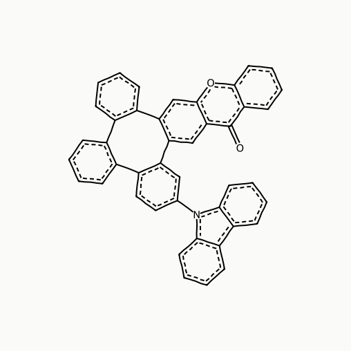 O=c1c2ccccc2oc2cc3c(cc12)-c1cc(-n2c4ccccc4c4ccccc42)ccc1-c1ccccc1-c1ccccc1-3